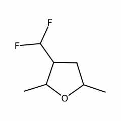 CC1CC(C(F)F)C(C)O1